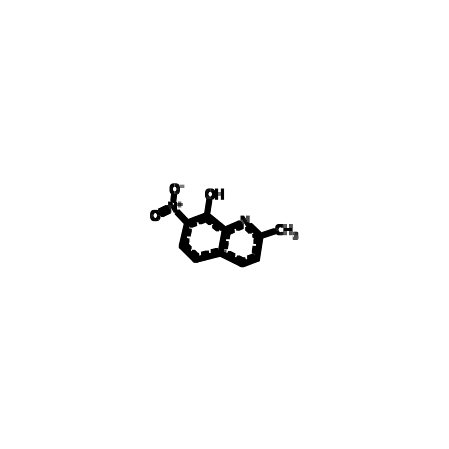 Cc1ccc2ccc([N+](=O)[O-])c(O)c2n1